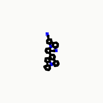 N#Cc1ccc2c(c1)c1c(n2C2=CC=CC(c3ccc(-c4ccccc4N4c5ccccc5C5C=CC=CC54)cc3)C2C#N)C=CCC1